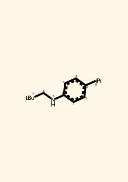 CC(C)c1ccc(NCC(C)(C)C)cc1